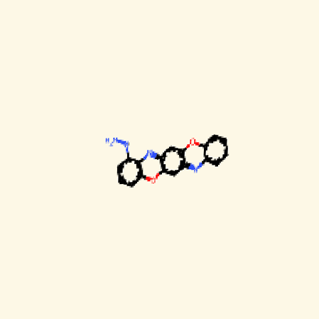 N[N]c1cccc2c1N=c1cc3c(cc1O2)=Nc1ccccc1O3